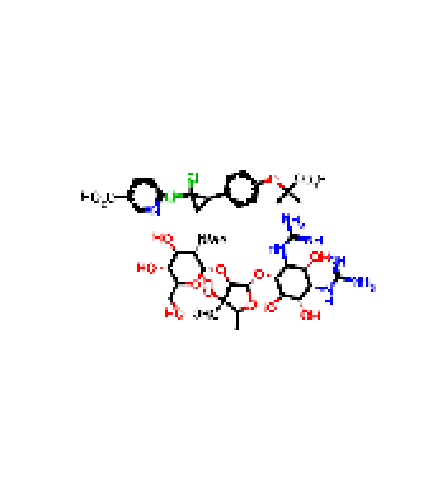 CC(C)(Oc1ccc(C2CC2(Cl)Cl)cc1)C(=O)O.CN[C@@H]1[C@H](O[C@H]2[C@H](O[C@H]3[C@H](O)[C@@H](O)[C@H](NC(=N)N)[C@@H](O)[C@@H]3NC(=N)N)O[C@@H](C)[C@]2(O)C=O)O[C@@H](CO)[C@H](O)[C@H]1O.O=C(O)c1cccnc1